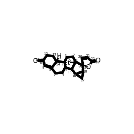 CC[C@]12CCC3C(CCC4=CC(=O)CC[C@@H]43)C1C1CC1[C@@]21C=CC(=O)O1